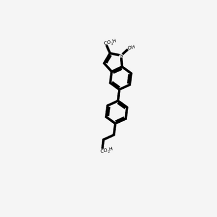 O=C(O)CCc1ccc(-c2ccc3c(c2)cc(C(=O)O)n3O)cc1